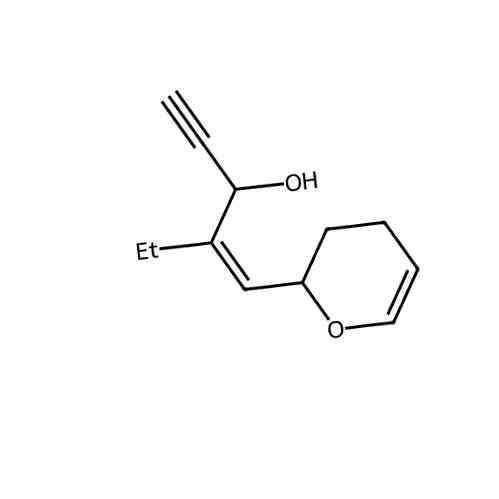 C#CC(O)C(=CC1CCC=CO1)CC